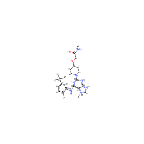 CNC(=O)COC1CCN(c2nc(Nc3cc(C(C)(C)C)ccc3C)c3c(ncn3C)n2)CC1